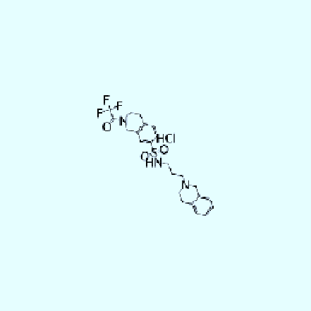 Cl.O=C(N1CCc2ccc(S(=O)(=O)NCCCN3CCc4ccccc4C3)cc2C1)C(F)(F)F